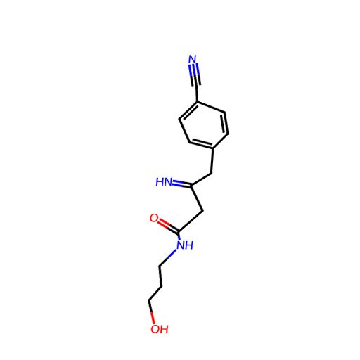 N#Cc1ccc(CC(=N)CC(=O)NCCCO)cc1